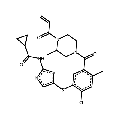 C=CC(=O)N1CCN(C(=O)c2cc(Sc3cnc(NC(=O)C4CC4)s3)c(Cl)cc2C)CC1C